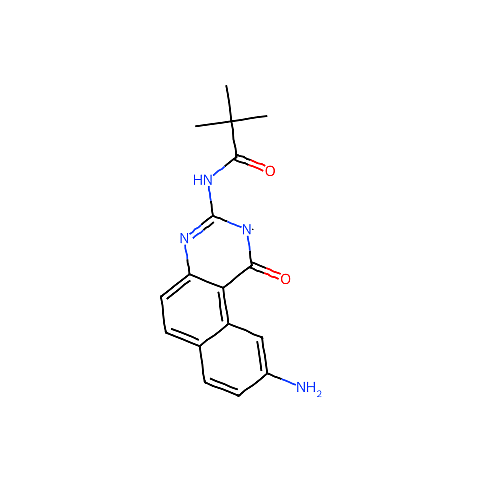 CC(C)(C)C(=O)NC1=Nc2ccc3ccc(N)cc3c2C(=O)[N]1